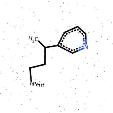 CCCCCCCC(C)c1cccnc1